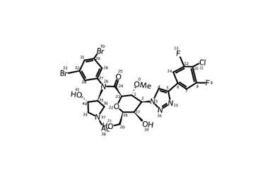 CO[C@@H]1[C@@H](n2cc(-c3cc(F)c(Cl)c(F)c3)nn2)[C@@H](O)[C@@H](CO)O[C@H]1C(=O)N(c1cc(Br)cc(Br)c1)[C@H]1CN(C(C)=O)C[C@@H]1O